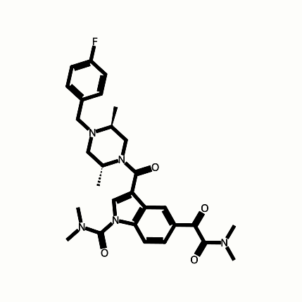 C[C@@H]1CN(Cc2ccc(F)cc2)[C@@H](C)CN1C(=O)c1cn(C(=O)N(C)C)c2ccc(C(=O)C(=O)N(C)C)cc12